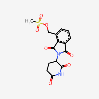 CS(=O)(=O)OCc1cccc2c1C(=O)N(C1CCC(=O)NC1=O)C2=O